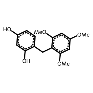 COc1cc(OC)c(Cc2ccc(O)cc2O)c(OC)c1